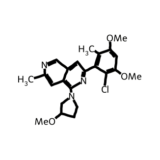 COc1cc(OC)c(Cl)c(-c2cc3cnc(C)cc3c(N3CCC(OC)C3)n2)c1C